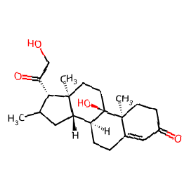 CC1C[C@H]2[C@@H]3CCC4=CC(=O)CC[C@]4(C)[C@@]3(O)CC[C@]2(C)[C@H]1C(=O)CO